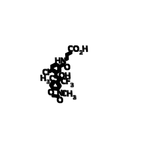 CC(c1cc(C(=O)NCCCC(=O)O)ccc1Cl)C(O)(c1ccc2c(c1)N(C)C(=O)CO2)C(F)(F)F